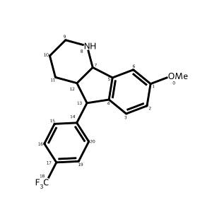 COc1ccc2c(c1)C1NCCCC1C2c1ccc(C(F)(F)F)cc1